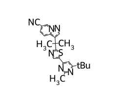 Cc1nc(-c2cnc(C(C)(C)c3cnn4cc(C#N)ccc34)s2)cc(C(C)(C)C)n1